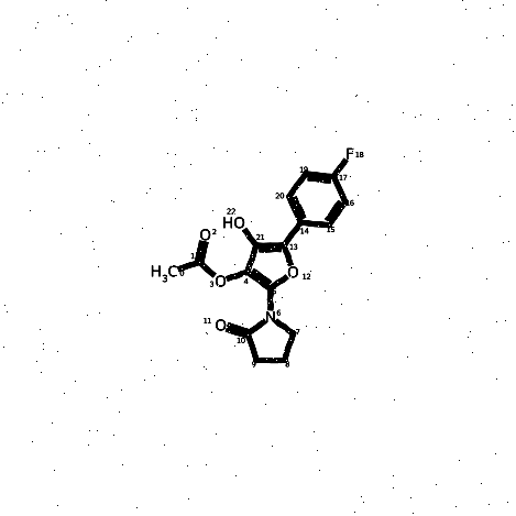 CC(=O)Oc1c(N2CCCC2=O)oc(-c2ccc(F)cc2)c1O